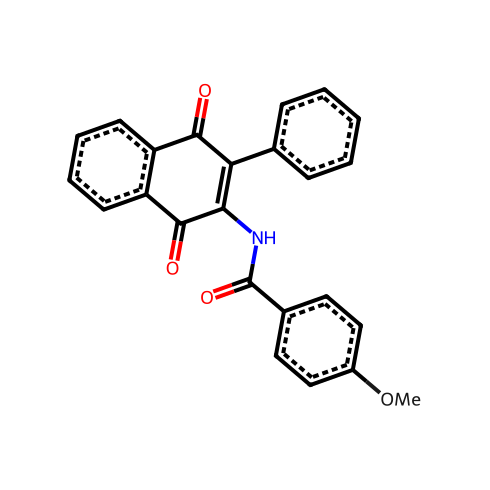 COc1ccc(C(=O)NC2=C(c3ccccc3)C(=O)c3ccccc3C2=O)cc1